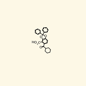 O=C(O)c1c(C(=O)C2CCCCC2)ccc2c1OC(c1ccccc1)(c1ccccc1)O2